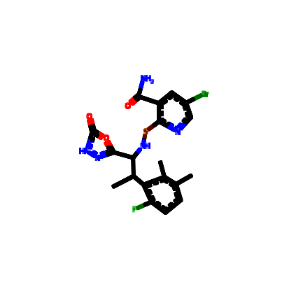 Cc1ccc(F)c(C(C)C(NSc2ncc(Br)cc2C(N)=O)c2n[nH]c(=O)o2)c1C